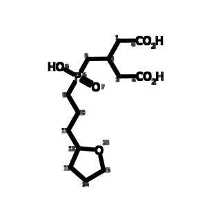 O=C(O)CC(CC(=O)O)CP(=O)(O)CCCC1CCCO1